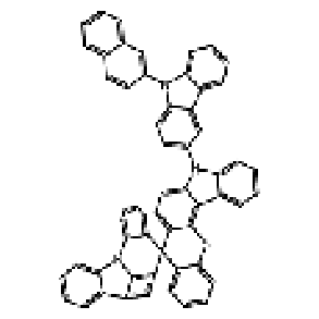 c1ccc2c(c1)Sc1c(ccc3c1c1ccccc1n3-c1ccc3c(c1)c1ccccc1n3-c1ccc3ccccc3c1)C21c2ccccc2-n2c3ccccc3c3cccc1c32